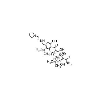 CN(C)c1c(CNCCN2CCCC2)cc(O)c2c1C[C@H]1C[C@H]3[C@H](N(C)C)C(O)=C(C(N)=O)C(=O)[C@@]3(O)C(O)=C1C2=O